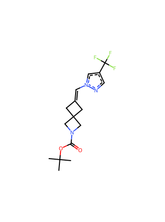 CC(C)(C)OC(=O)N1CC2(CC(=Cn3cc(C(F)(F)F)cn3)C2)C1